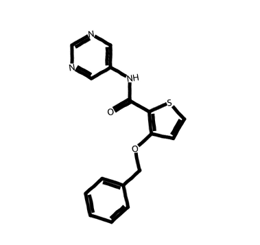 O=C(Nc1cncnc1)c1sccc1OCc1ccccc1